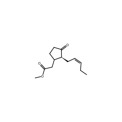 CC/C=C\C[C@@H]1C(=O)CCC1CC(=O)OC